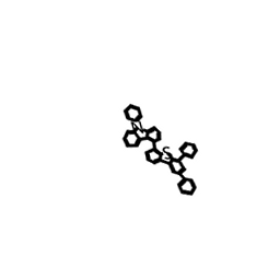 c1ccc(-c2cc(-c3ccccc3)c3sc4c(-c5cccc6c5c5ccccc5n6-c5ccccc5)cccc4c3c2)cc1